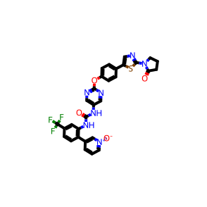 O=C(Nc1cnc(Oc2ccc(-c3cnc(N4CCCC4=O)s3)cc2)nc1)Nc1cc(C(F)(F)F)ccc1-c1ccc[n+]([O-])c1